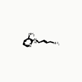 NCC=CCNc1ncccc1N